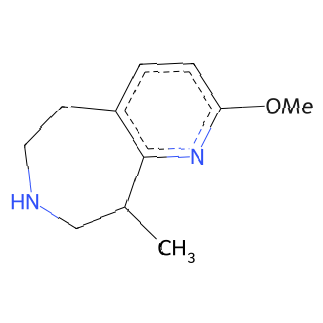 COc1ccc2c(n1)C(C)CNCC2